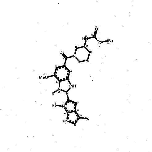 CCn1c(C2Nc3cc(C(=O)N4CCCC(NC(=O)OC(C)(C)C)C4)cc(OC)c3N2C)cc2c(C)csc21